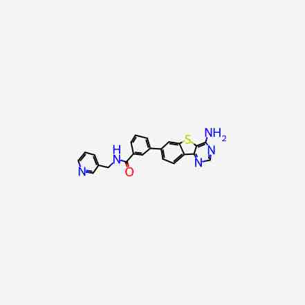 Nc1ncnc2c1sc1cc(-c3cccc(C(=O)NCc4cccnc4)c3)ccc12